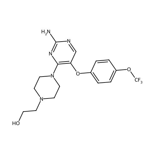 Nc1ncc(Oc2ccc(OC(F)(F)F)cc2)c(N2CCN(CCO)CC2)n1